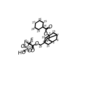 O=C(OC12CC3CC(CC(COC(=O)C(F)(F)S(=O)(=O)O)(C3)C1)C2)C1CCCCC1